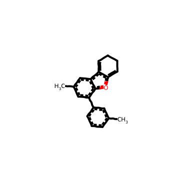 Cc1cccc(-c2cc(C)cc3c4c(oc23)=CCCC=4)c1